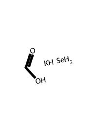 O=CO.[KH].[SeH2]